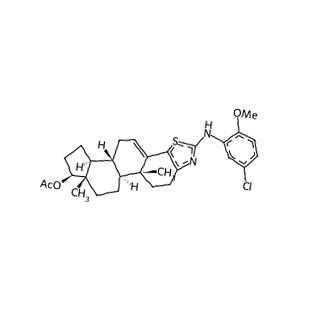 COc1ccc(Cl)cc1Nc1nc2c(s1)C1=CC[C@H]3[C@@H]4CC[C@H](OC(C)=O)[C@@]4(C)CC[C@@H]3[C@@]1(C)CC2